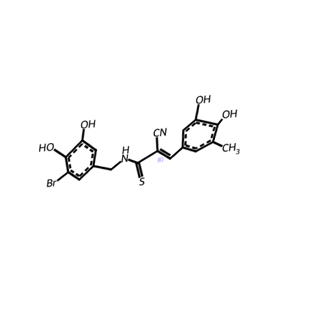 Cc1cc(/C=C(\C#N)C(=S)NCc2cc(O)c(O)c(Br)c2)cc(O)c1O